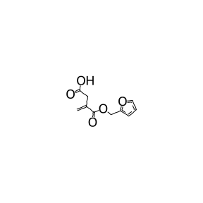 C=C(CC(=O)O)C(=O)OCc1ccco1